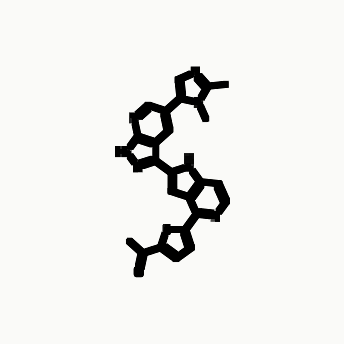 CC(=O)c1ccc(-c2nccc3[nH]c(-c4n[nH]c5ncc(-c6cnc(C)n6C)cc45)cc23)s1